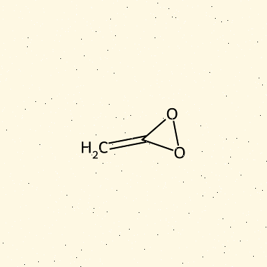 C=C1OO1